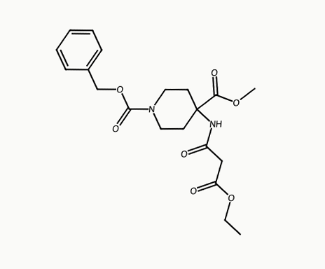 CCOC(=O)CC(=O)NC1(C(=O)OC)CCN(C(=O)OCc2ccccc2)CC1